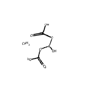 O=C(O)OB(O)OC(=O)O.[CaH2]